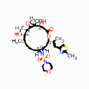 CC(=Cc1csc(C)n1)[C@@H]1C[C@H]2[C@@H](CCC[C@H](C)[C@H](O)[C@H](C)C(=O)C(C)(C)[C@@H](O)CC(=O)O1)N2S(=O)(=O)N1CCOCC1